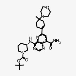 CC(C)(C)OC(=O)N1CCC[C@H](Nc2ncnc3c(C(N)=O)cc(C4=CCC(C)(N5CCOCC5)CC4)nc23)C1